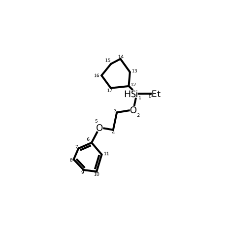 CC[SiH](OCCOc1ccccc1)C1CCCCC1